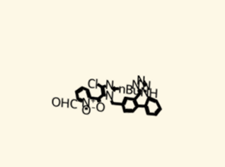 CCCCc1nc(Cl)c(C(=O)c2cccc(C=O)[n+]2[O-])n1Cc1ccc(-c2ccccc2)c(-c2nnn[nH]2)c1